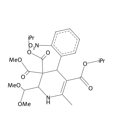 COC(=O)C1(C(=O)OC(C)C)C(c2ccccc2[N+](=O)[O-])C(C(=O)OC(C)C)=C(C)NC1C(OC)OC